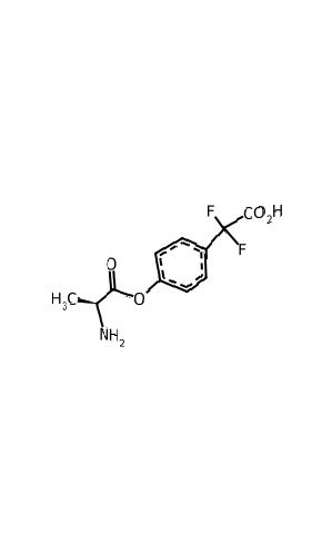 C[C@H](N)C(=O)Oc1ccc(C(F)(F)C(=O)O)cc1